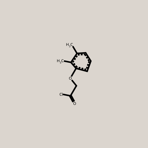 Cc1cccc(OCC(=O)Cl)c1C